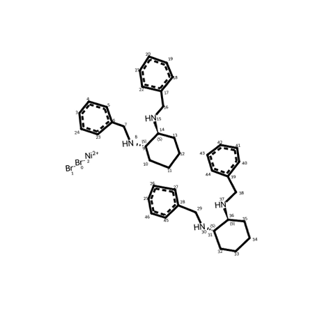 [Br-].[Br-].[Ni+2].c1ccc(CN[C@H]2CCCC[C@@H]2NCc2ccccc2)cc1.c1ccc(CN[C@H]2CCCC[C@@H]2NCc2ccccc2)cc1